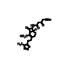 CSCC(=O)CC(=O)NC1C(=O)N2C(C(=O)O)=C(CSc3nnnn3C)CS[C@@H]12